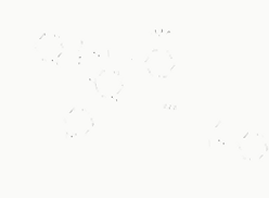 COc1ccccc1Oc1c(NS(=O)(=O)c2ccc(C)cn2)nc(-c2ccncc2)nc1OCC#CCOC(=O)Nc1ccccc1F